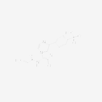 C=CC(=O)Nc1c(C)nc2c(-c3ccc(C(C)(C)C)cc3)nccn12